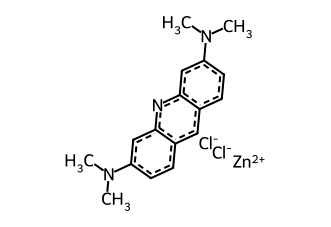 CN(C)c1ccc2cc3ccc(N(C)C)cc3nc2c1.[Cl-].[Cl-].[Zn+2]